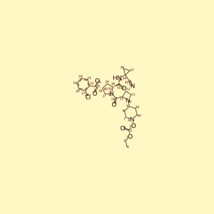 CCOC(=O)ON1CCC(N2CCC2C(=O)N2C[C@H](S(=O)(=O)c3ccccc3Cl)C[C@H]2C(=O)NC2(C#N)CC2)CC1